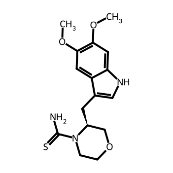 COc1cc2[nH]cc(C[C@H]3COCCN3C(N)=S)c2cc1OC